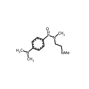 CNCCN(C)[PH](=O)c1ccc(N(C)C)cc1